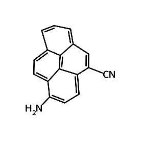 N#Cc1cc2cccc3ccc4c(N)ccc1c4c32